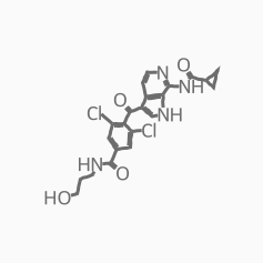 O=C(NCCCO)c1cc(Cl)c(C(=O)c2c[nH]c3c(NC(=O)C4CC4)nccc23)c(Cl)c1